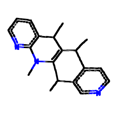 CC1C2=C(C(C)c3cnccc31)N(C)c1ncccc1C2C